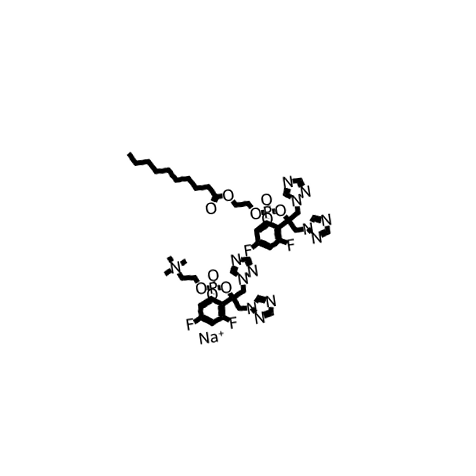 CCCCCCCCCC(=O)OCCOP(=O)([O-])OC(Cn1cncn1)(Cn1cncn1)c1ccc(F)cc1F.C[N+](C)(C)CCOP(=O)([O-])OC(Cn1cncn1)(Cn1cncn1)c1ccc(F)cc1F.[Na+]